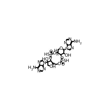 Nc1ncnc2c1ncn2[C@@H]1OC[C@H]2O[P@](=O)(S)OC3[C@H](CO[P@@](=O)(S)OC2C1O)OCC3(O)n1cnc2c(N)ncnc21